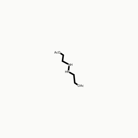 CC(=O)OCCNNCCOC(C)=O